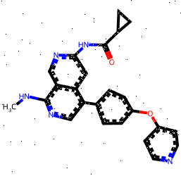 CNc1ncc(-c2ccc(Oc3ccncc3)cc2)c2cc(NC(=O)C3CC3)ncc12